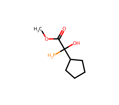 COC(=O)C(O)(P)C1CCCC1